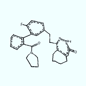 O=C(c1ccccc1-c1cc(CCc2n[nH]c(=O)c3c2CCCC3)ccc1F)N1CCCC1